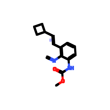 C=Nc1c(/C=C/C2CCC2)cccc1NC(=O)OC